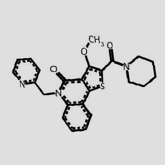 COc1c(C(=O)N2CCCCC2)sc2c1c(=O)n(Cc1ccccn1)c1ccccc21